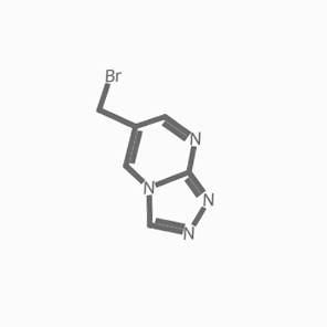 BrCc1cnc2nncn2c1